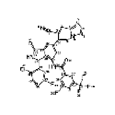 N#Cc1cc2ncnn2cc1-c1cc(NC(=O)c2cc(F)cc(C(F)(F)F)c2)c2c(c1)C(=O)NC2c1cc(F)ccc1Cl